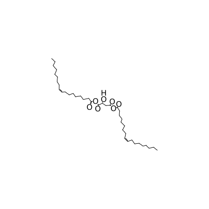 CCCCCCCC/C=C\CCCCCCCC(=O)OC(=O)CC(O)C(=O)OC(=O)CCCCCCC/C=C\CCCCCCCC